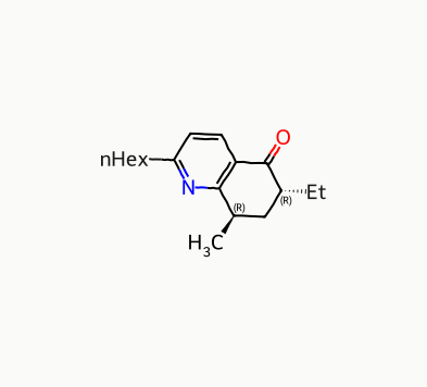 CCCCCCc1ccc2c(n1)[C@H](C)C[C@@H](CC)C2=O